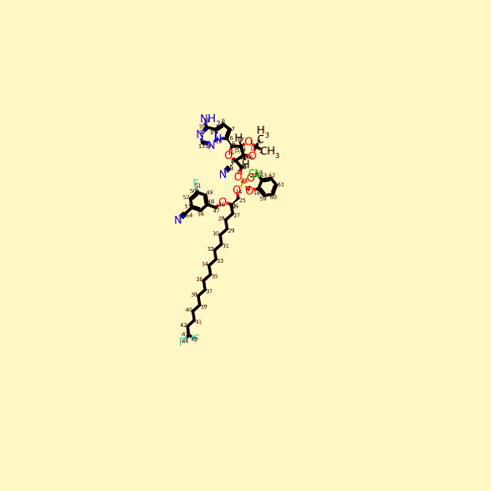 CC1(C)O[C@H]2[C@H](c3ccc4c(N)ncnn34)O[C@](C#N)(COP(=O)(OC[C@@H](CCCCCCCCCCCCCCCCC(F)F)OCc3cc(F)cc(C#N)c3)Oc3ccccc3Cl)[C@H]2O1